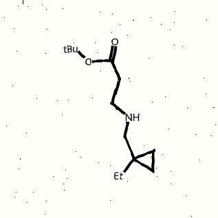 CCC1(CNCCC(=O)OC(C)(C)C)CC1